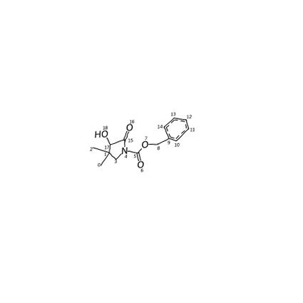 CC1(C)CN(C(=O)OCc2ccccc2)C(=O)C1O